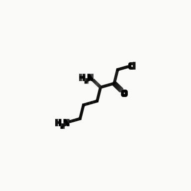 NCCCC(N)C(=O)CCl